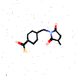 CC1CC(=O)N(CC2CCC(C(=O)P)CC2)C1=O